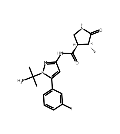 C[C@H]1C(=O)NC[C@@H]1C(=O)Nc1cc(-c2cccc(I)c2)n(C(C)(C)P)n1